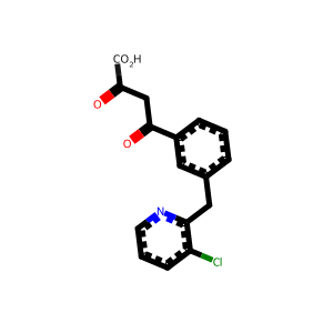 O=C(O)C(=O)CC(=O)c1cccc(Cc2ncccc2Cl)c1